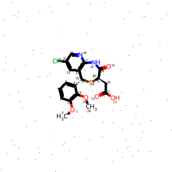 COc1cccc([C@H]2S[C@H](CC(=O)O)C(=O)Nc3ncc(Cl)cc32)c1OC